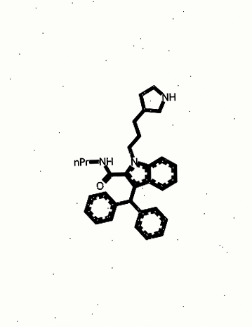 CCCNC(=O)c1c(C(c2ccccc2)c2ccccc2)c2ccccc2n1CCCC1CCNC1